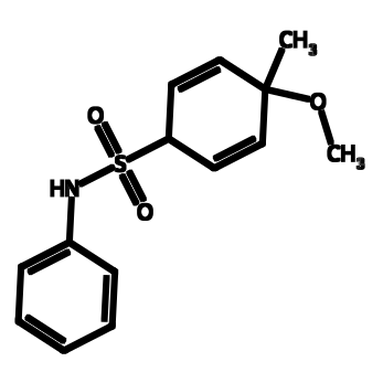 COC1(C)C=CC(S(=O)(=O)Nc2ccccc2)C=C1